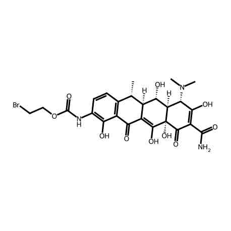 C[C@H]1c2ccc(NC(=O)OCCBr)c(O)c2C(=O)C2=C(O)[C@]3(O)C(=O)C(C(N)=O)=C(O)[C@@H](N(C)C)[C@@H]3[C@@H](O)[C@@H]21